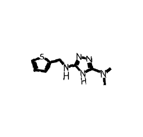 CN(C)c1nnc(NCc2cccs2)[nH]1